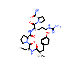 CC(=O)N[C@@H](Cc1ccc(O)cc1)C(=O)N[C@@H](CC(C)C)C(=O)N1CCC[C@H]1C(=O)N[C@@H](CCCNC(=N)N)C(=O)N1CCC[C@H]1C(N)=O